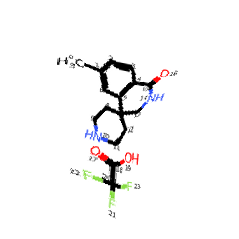 Cc1ccc2c(c1)C1(CCNCC1)CNC2=O.O=C(O)C(F)(F)F